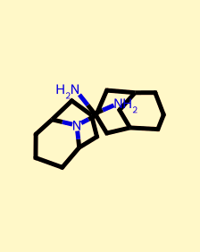 NC1CC2CCCC(C1)N2C1(N)CC2CCCC(C2)C1